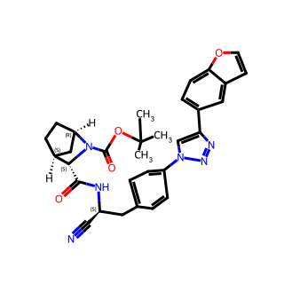 CC(C)(C)OC(=O)N1[C@@H]2CC[C@@H](C2)[C@H]1C(=O)N[C@H](C#N)Cc1ccc(-n2cc(-c3ccc4occc4c3)nn2)cc1